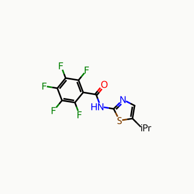 CC(C)c1cnc(NC(=O)c2c(F)c(F)c(F)c(F)c2F)s1